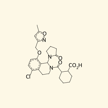 Cc1cc(COc2ccc(Cl)c3c2C(N2CCCC2=O)N(C(=O)C2CCCCC2C(=O)O)CC3)no1